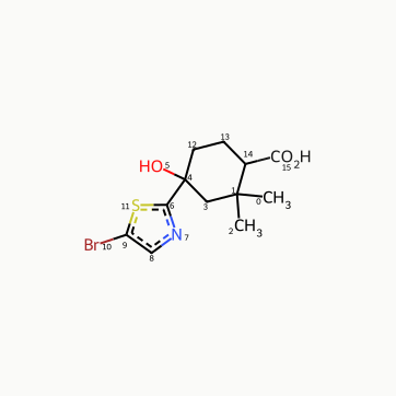 CC1(C)CC(O)(c2ncc(Br)s2)CCC1C(=O)O